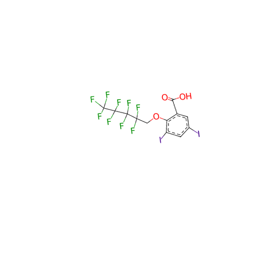 O=C(O)c1cc(I)cc(I)c1OCC(F)(F)C(F)(F)C(F)(F)C(F)(F)F